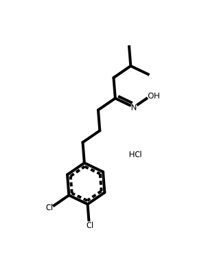 CC(C)CC(CCCc1ccc(Cl)c(Cl)c1)=NO.Cl